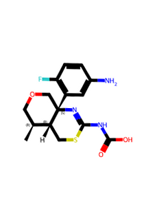 C[C@H]1COC[C@]2(c3cc(N)ccc3F)N=C(NC(=O)O)SC[C@H]12